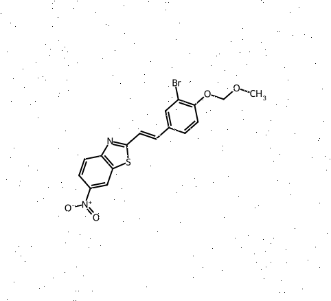 COCOc1ccc(C=Cc2nc3ccc([N+](=O)[O-])cc3s2)cc1Br